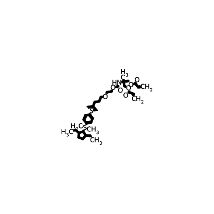 C=CC(=O)OCC(C)(COC(=O)C=C)NC(=O)OCCOCCCC12CS1(c1ccc(S(C)(C)C3C(CC)CCC3CC)cc1)C2